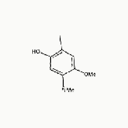 CNc1cc(O)c(C)cc1OC